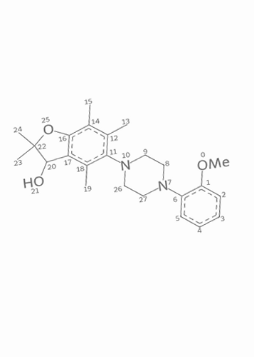 COc1ccccc1N1CCN(c2c(C)c(C)c3c(c2C)C(O)C(C)(C)O3)CC1